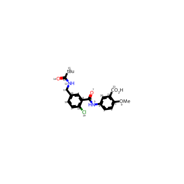 COc1ccc(NC(=O)c2cc(CNC(=O)C(C)(C)C)ccc2Cl)cc1C(=O)O